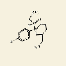 CCS(=O)(=O)[N+]1(c2ccc(Br)cc2)C=C(CN)C=CC1